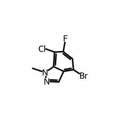 Cn1ncc2c(Br)cc(F)c(Cl)c21